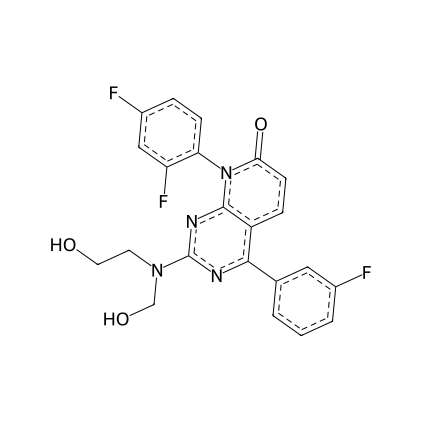 O=c1ccc2c(-c3cccc(F)c3)nc(N(CO)CCO)nc2n1-c1ccc(F)cc1F